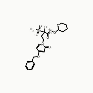 CC(CCn1ccc(OCc2ccccc2)cc1=O)(C(=O)NOC1CCCCO1)S(C)(=O)=O